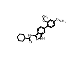 COc1ccc(-c2ccc3c(NC(=O)C4CCCCC4)n[nH]c3c2)c(OC)c1